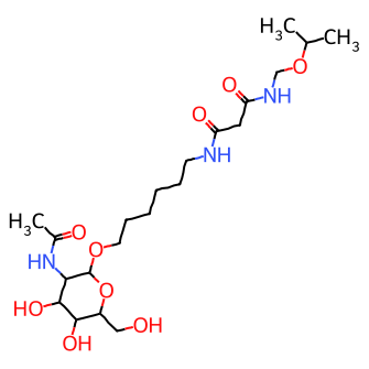 CC(=O)NC1C(OCCCCCCNC(=O)CC(=O)NCOC(C)C)OC(CO)C(O)C1O